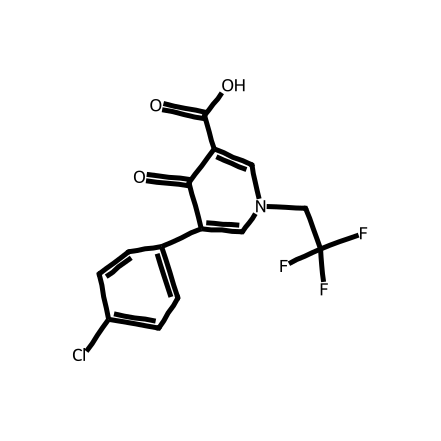 O=C(O)c1cn(CC(F)(F)F)cc(-c2ccc(Cl)cc2)c1=O